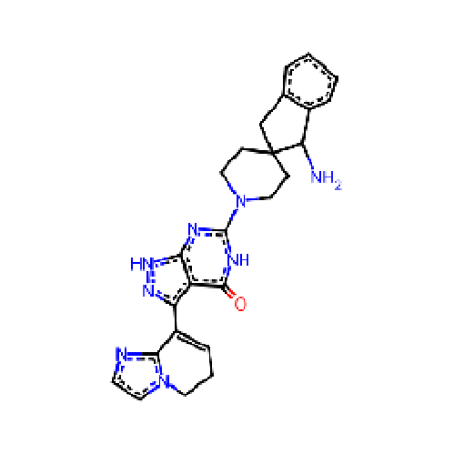 NC1c2ccccc2CC12CCN(c1nc3[nH]nc(C4=CCCn5ccnc54)c3c(=O)[nH]1)CC2